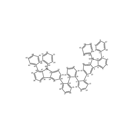 c1ccc(-c2cccc3c4cc(-c5ccccc5-c5ccccc5-c5ccccc5-c5ccc6c(c5)c5cccc(-c7ccccc7)c5n6-c5ccccc5)ccc4n(-c4ccccc4)c23)cc1